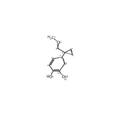 COCC1(C2C=CC(O)=C(O)C2)CC1